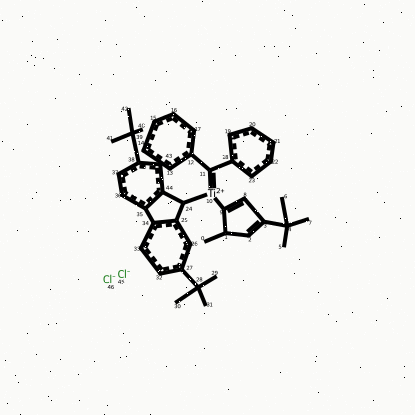 CC1C=C(C(C)(C)C)C=[C]1[Ti+2](=[C](c1ccccc1)c1ccccc1)[CH]1c2cc(C(C)(C)C)ccc2-c2ccc(C(C)(C)C)cc21.[Cl-].[Cl-]